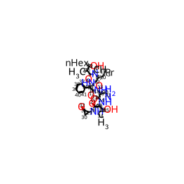 CCCCCC[C@@H](O)[C@@H](C)C(=O)N(C)[C@@H](CC(C)C)C(=O)N[C@H](C(=O)N[C@@H](CN)C(=O)N[C@H](C(=O)NC1CC1=O)[C@H](C)O)c1ccccc1